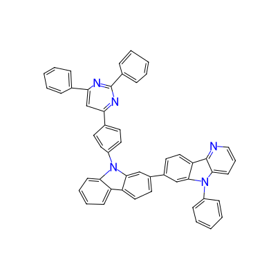 c1ccc(-c2cc(-c3ccc(-n4c5ccccc5c5ccc(-c6ccc7c8ncccc8n(-c8ccccc8)c7c6)cc54)cc3)nc(-c3ccccc3)n2)cc1